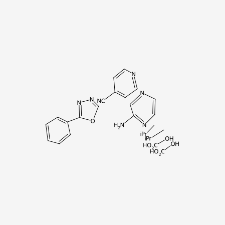 CC(C)C.CC(C)C.N#Cc1ccncc1.Nc1cnccn1.O=C(O)O.O=C(O)O.c1ccc(-c2nnco2)cc1